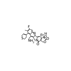 CC[C@@]1(O)C(=O)OCc2c1cc1n(c2=O)Cc2c-1nc1cc(F)c(C)c(C3=CCSCC3)c1c2CN